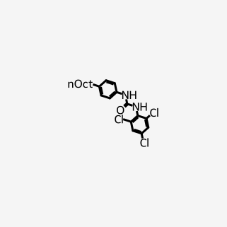 CCCCCCCCc1ccc(NC(=O)Nc2c(Cl)cc(Cl)cc2Cl)cc1